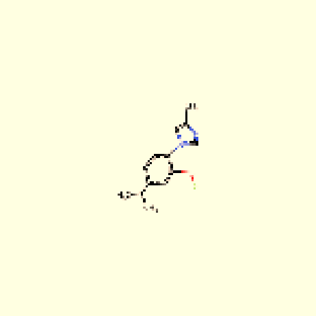 Cc1cn(-c2ccc(C(C)C)cc2OF)cn1